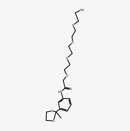 CC1(c2cccc(NC(=O)COCCOCCOCCOCCO)c2)OCCO1